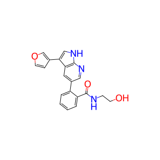 O=C(NCCO)c1ccccc1-c1cnc2[nH]cc(-c3ccoc3)c2c1